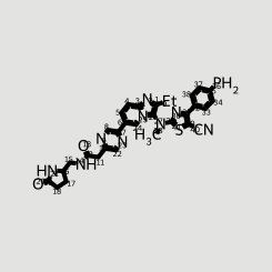 CCc1nc2ccc(-c3cnc(CC(=O)NCC4CCC(=O)N4)cn3)cn2c1N(C)c1nc(-c2ccc(P)cc2)c(C#N)s1